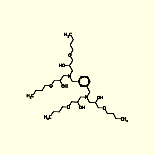 CCCCOCC(O)CN(Cc1cccc(CN(CC(O)COCCCC)CC(O)COCCCC)c1)CC(O)COCCCC